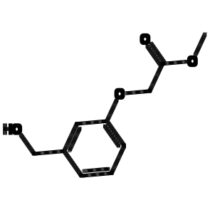 COC(=O)COc1cccc(CO)c1